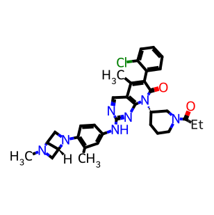 CCC(=O)N1CCC[C@H](n2c(=O)c(-c3ccccc3Cl)c(C)c3cnc(Nc4ccc(N5CC6[C@H]5CN6C)c(C)c4)nc32)C1